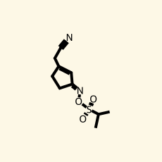 CC(C)S(=O)(=O)O/N=C1/C=C(CC#N)CC1